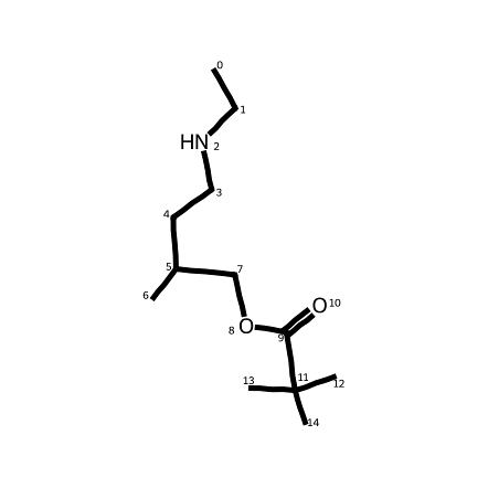 CCNCCC(C)COC(=O)C(C)(C)C